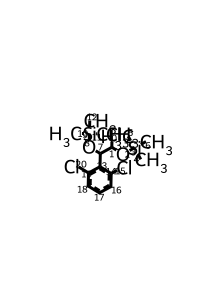 CC(O[Si](C)(C)C)C(O[Si](C)(C)C)c1c(Cl)cccc1Cl